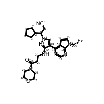 N#CCC(C1CCCC1)n1cc(-c2ncnc3c2ccn3SF)c(NCCC(=O)N2CCOCC2)n1